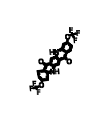 O=c1c2ccc(OC(F)(F)F)cc2[nH]c2cc3c(=O)c4ccc(OC(F)(F)F)cc4[nH]c3cc12